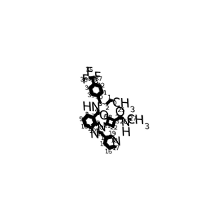 CCC[C@H](NC(=O)c1cccc2nc(-c3cccnc3)n(C3CC(C(=O)NC)C3)c12)c1ccc(C(F)(F)F)cc1